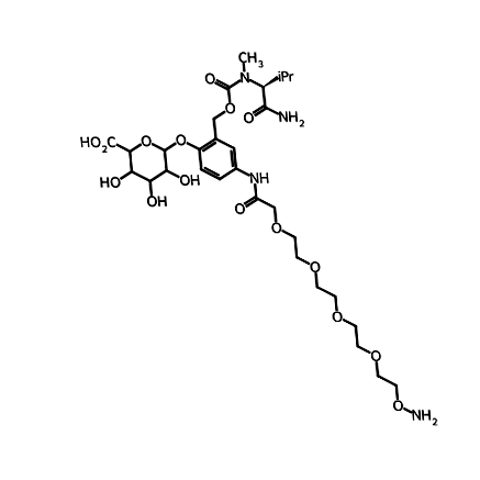 CC(C)[C@@H](C(N)=O)N(C)C(=O)OCc1cc(NC(=O)COCCOCCOCCOCCON)ccc1OC1OC(C(=O)O)C(O)C(O)C1O